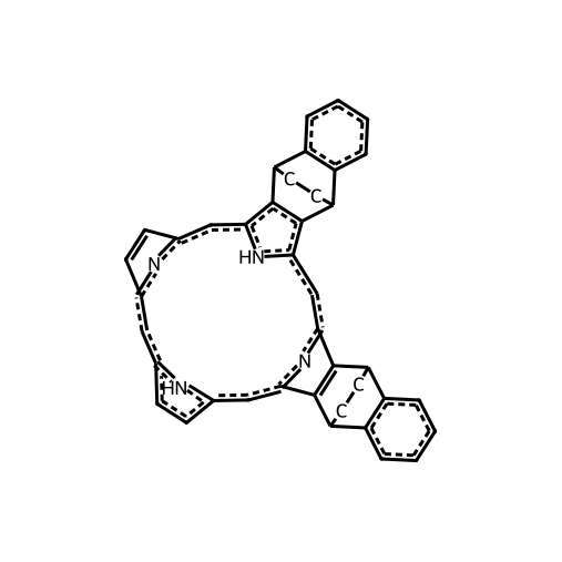 C1=Cc2cc3[nH]c(cc4nc(cc5ccc(cc1n2)[nH]5)C1=C4C2CCC1c1ccccc12)c1c3C2CCC1c1ccccc12